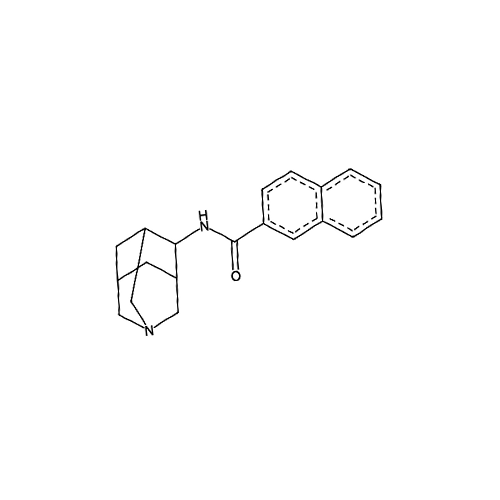 O=C(NC1C2CC3CC1CN(C3)C2)c1ccc2ccccc2c1